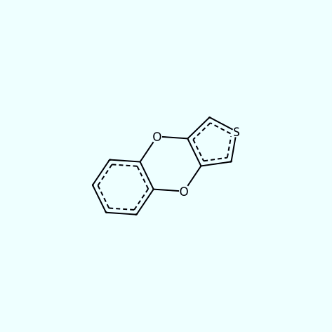 c1ccc2c(c1)Oc1cscc1O2